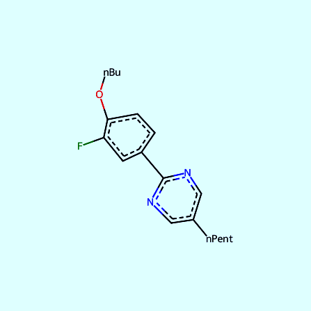 CCCCCc1cnc(-c2ccc(OCCCC)c(F)c2)nc1